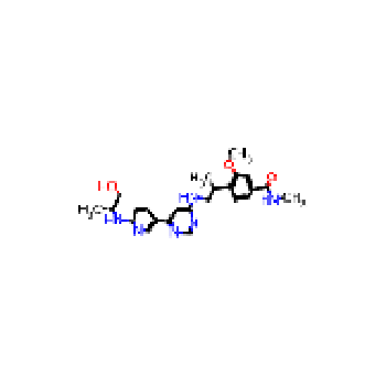 CNC(=O)c1ccc([C@H](C)CNc2cc(-c3ccc(N[C@@H](C)CO)nc3)ncn2)c(OC)c1